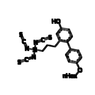 CCCCCCOc1ccc(-c2ccc(O)cc2CCC[Si](N=C=S)(N=C=S)N=C=S)cc1